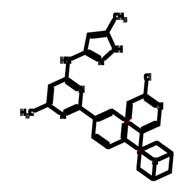 Cc1cc(Nc2cc(C)[nH]n2)nc(-c2ccc(N3CC4CC(C3)N4Cc3cnc(Cl)cn3)nc2)n1